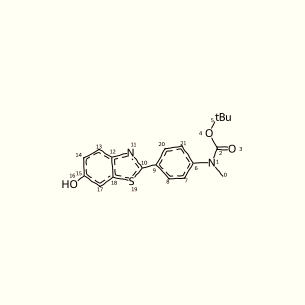 CN(C(=O)OC(C)(C)C)c1ccc(-c2nc3ccc(O)cc3s2)cc1